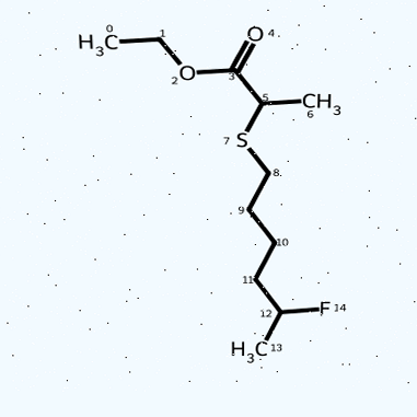 CCOC(=O)C(C)SCCCCC(C)F